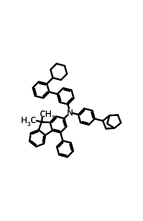 CC1(C)c2ccccc2-c2c(-c3ccccc3)cc(N(c3ccc(C4CC5CCC4C5)cc3)c3cccc(-c4ccccc4C4CCCCC4)c3)cc21